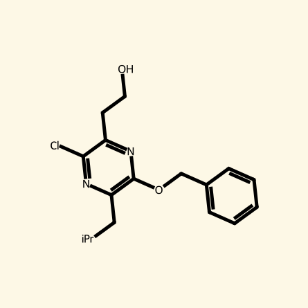 CC(C)Cc1nc(Cl)c(CCO)nc1OCc1ccccc1